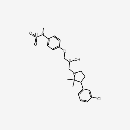 CN(c1ccc(OC[C@@H](O)CN2CCC(c3cccc(Cl)c3)C2(C)C)cc1)[SH](=O)=O